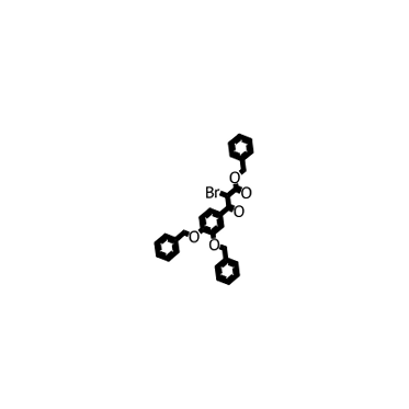 O=C(OCc1ccccc1)C(Br)C(=O)c1ccc(OCc2ccccc2)c(OCc2ccccc2)c1